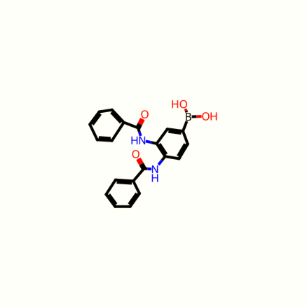 O=C(Nc1ccc(B(O)O)cc1NC(=O)c1ccccc1)c1ccccc1